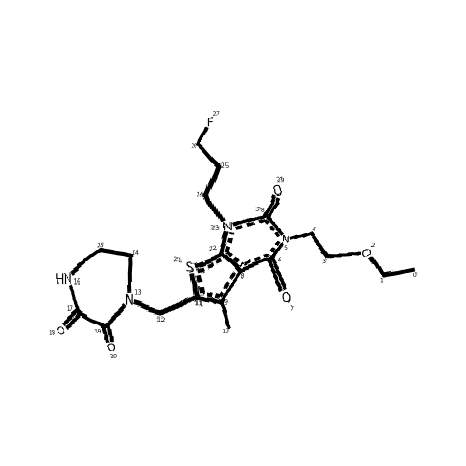 CCOCCn1c(=O)c2c(C)c(CN3CCNC(=O)C3=O)sc2n(CCCF)c1=O